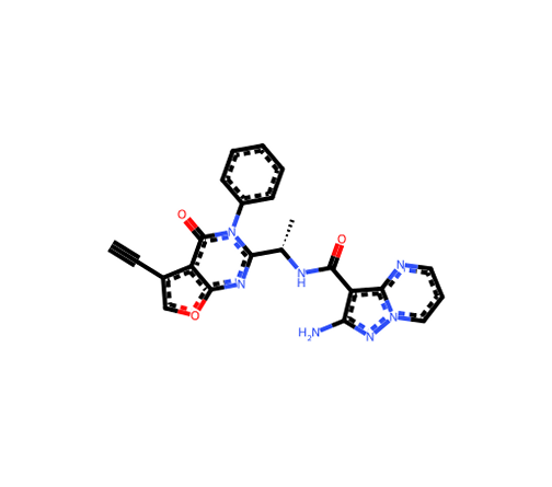 C#Cc1coc2nc([C@H](C)NC(=O)c3c(N)nn4cccnc34)n(-c3ccccc3)c(=O)c12